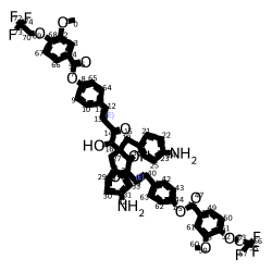 COc1cc(C(=O)Oc2ccc(/C=C/C(=O)C(O)C(Cc3ccc(N)cc3)(Cc3ccc(N)cc3)C(O)C(=O)/C=C/c3ccc(OC(=O)c4ccc(OCC(F)(F)F)c(OC)c4)cc3)cc2)ccc1OCC(F)(F)F